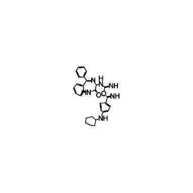 N=C(NC1N=C(c2ccccc2)c2ccccc2NC1=O)OC(=N)c1ccc(NC2CCCCC2)cc1